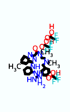 Cc1ccc2nc(C(=O)N(C)CCN(C)Cc3ccccc3)nc(NC3CCCCC3NC(=N)N)c2c1.O=C(O)C(F)(F)F.O=C(O)C(F)(F)F.O=C(O)C(F)(F)F